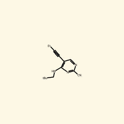 CCC#Cc1cnc(C#N)nc1NCC(C)(C)C